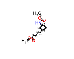 CCOC(=O)Nc1cccc(CCCCC(=O)OC)c1